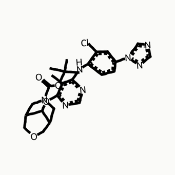 Cc1c(Nc2ccc(-n3cncn3)cc2Cl)ncnc1OC1C2COCC1CN(C(=O)OC(C)(C)C)C2